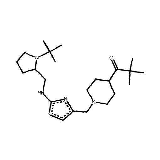 CC(C)(C)C(=O)C1CCN(Cc2csc(NCC3CCCN3C(C)(C)C)n2)CC1